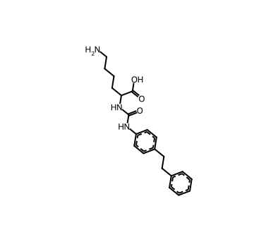 NCCCCC(NC(=O)Nc1ccc(CCc2ccccc2)cc1)C(=O)O